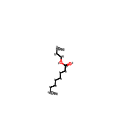 CCCCCCCCCCCCCCCCC(=O)OCCCCCCCCCCCC